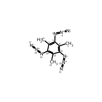 Cc1c(N=[N+]=[N-])c(C)c(N=[N+]=[N-])c(C)c1N=[N+]=[N-]